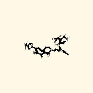 CC#C[C@@H](CCCn1ccc2cc(-c3ncc(C(F)(F)F)cn3)c(F)c(F)c2c1=O)Nc1cn[nH]c(=O)c1C(F)(F)F